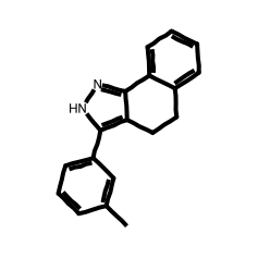 Cc1cccc(-c2[nH]nc3c2CCc2ccccc2-3)c1